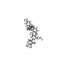 Cc1cc(-n2ncc(=O)[nH]c2=O)cc(Cl)c1Oc1ccc(O)c(NS(=O)(=O)c2ccc(Cl)cc2)c1